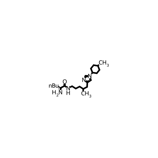 CCCC[C@H](N)C(=O)NCCCC(C)Cc1cn(C2CCC(C)CC2)cn1